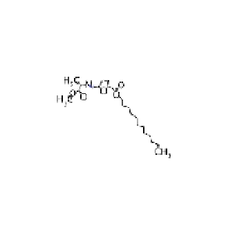 CCCCCCCCCCCCOC(=O)c1ccc(/C=N/C(C)C(=O)OC)o1